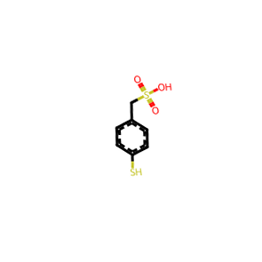 O=S(=O)(O)Cc1ccc(S)cc1